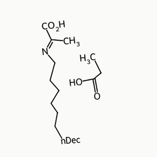 CCC(=O)O.CCCCCCCCCCCCCCCCN=C(C)C(=O)O